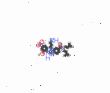 COc1cc([N+](=O)[O-])ccc1Nc1nc2ccc(C(=O)N(CCC(C)C)CCC(C)C)cc2n1CCCN